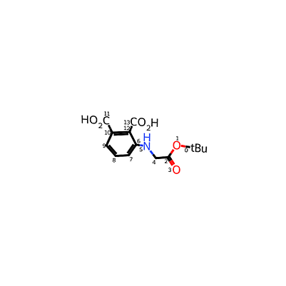 CC(C)(C)OC(=O)CNc1cccc(C(=O)O)c1C(=O)O